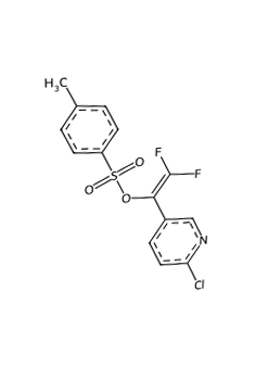 Cc1ccc(S(=O)(=O)OC(=C(F)F)c2ccc(Cl)nc2)cc1